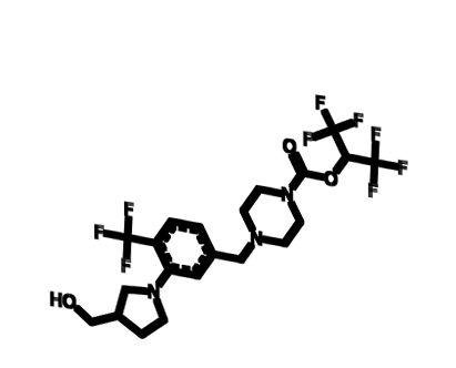 O=C(OC(C(F)(F)F)C(F)(F)F)N1CCN(Cc2ccc(C(F)(F)F)c(N3CCC(CO)C3)c2)CC1